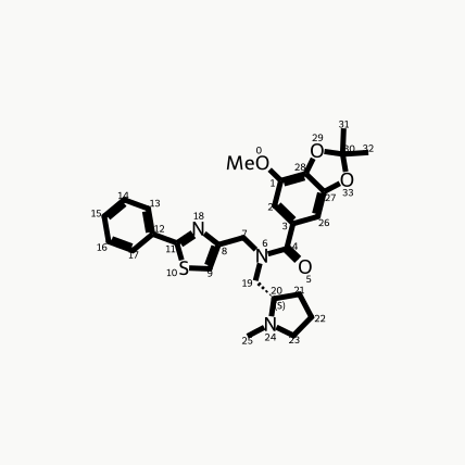 COc1cc(C(=O)N(Cc2csc(-c3ccccc3)n2)C[C@@H]2CCCN2C)cc2c1OC(C)(C)O2